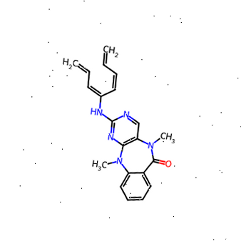 C=C/C=C\C(=C/C=C)Nc1ncc2c(n1)N(C)c1ccccc1C(=O)N2C